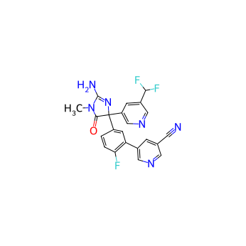 CN1C(=O)C(c2cncc(C(F)F)c2)(c2ccc(F)c(-c3cncc(C#N)c3)c2)N=C1N